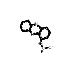 C[S+]([O-])Nc1cccc2nc3ccccc3nc12